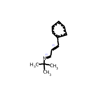 CC(C)(C)/N=C/C=C/c1ccccc1